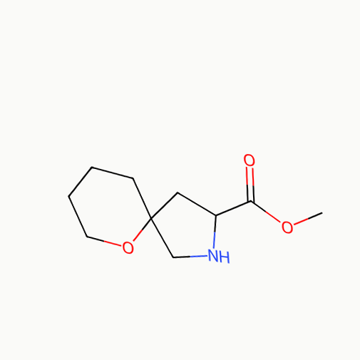 COC(=O)C1CC2(CCCCO2)CN1